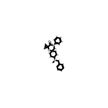 CN(Cc1ccccc1)C1CCC2(CC1)CN(c1ccccc1)C(=O)C1(CC1)O2